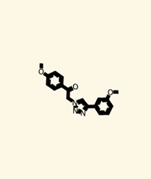 COc1ccc(C(=O)Cn2cc(-c3cccc(OC)c3)nn2)cc1